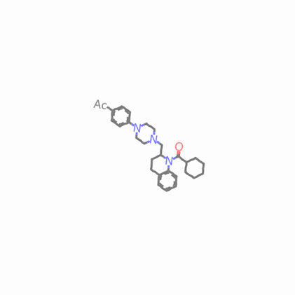 CC(=O)c1ccc(N2CCN(CC3CCc4ccccc4N3C(=O)C3CCCCC3)CC2)cc1